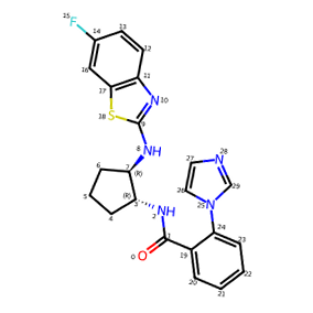 O=C(N[C@@H]1CCC[C@H]1Nc1nc2ccc(F)cc2s1)c1ccccc1-n1ccnc1